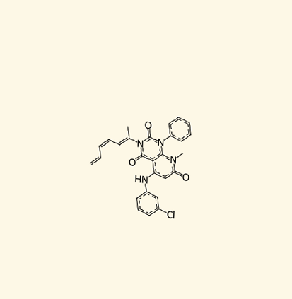 C=C/C=C\C=C(/C)n1c(=O)c2c(Nc3cccc(Cl)c3)cc(=O)n(C)c2n(-c2ccccc2)c1=O